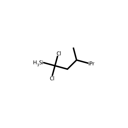 CC(C)C(C)CC([SiH3])(Cl)Cl